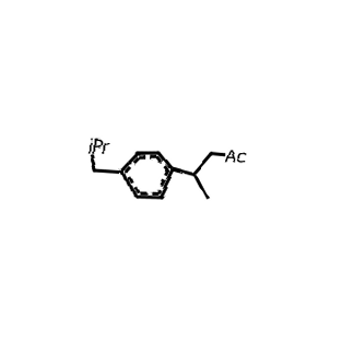 CC(=O)CC(C)c1ccc(CC(C)C)cc1